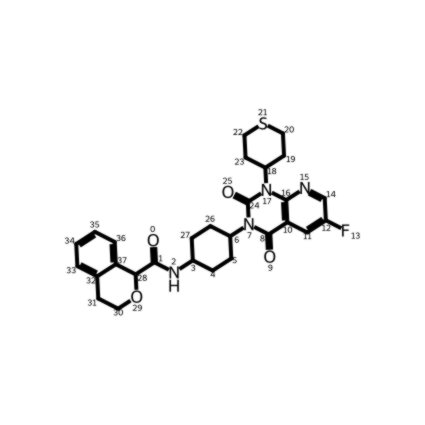 O=C(NC1CCC(n2c(=O)c3cc(F)cnc3n(C3CCSCC3)c2=O)CC1)C1OCCc2ccccc21